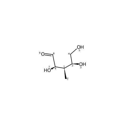 C[C@H]([C@H](O)CO)[C@@H](O)C=O